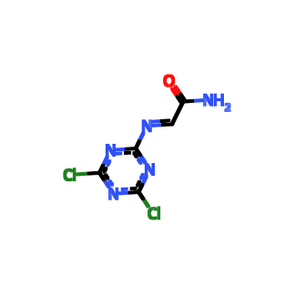 NC(=O)/C=N/c1nc(Cl)nc(Cl)n1